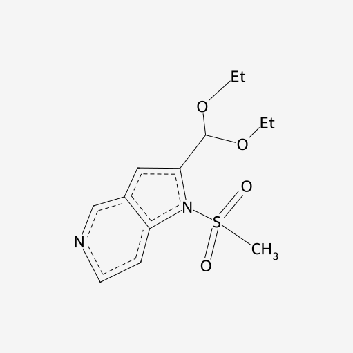 CCOC(OCC)c1cc2cnccc2n1S(C)(=O)=O